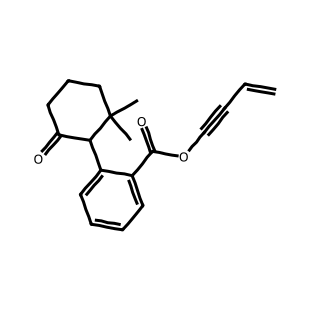 C=CC#COC(=O)c1ccccc1C1C(=O)CCCC1(C)C